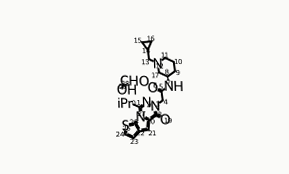 CC(C)c1nn(CC(=O)N[C@@H]2CCCN(CC3CC3)C2)c(=O)c2cc3ccsc3n12.O=CO